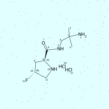 CC(C)(N)CNC(=O)[C@@H]1C[C@@H](F)CN1.Cl.Cl